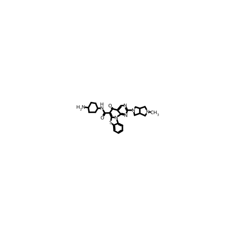 CN1CC2CN(c3ncc4c(=O)c(C(=O)NC5CCC(N)CC5)c5sc6ccccc6n5c4n3)CC2C1